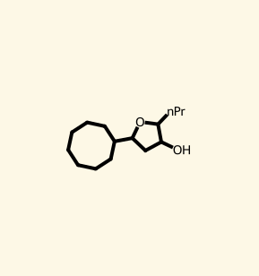 CCCC1OC(C2CCCCCCC2)CC1O